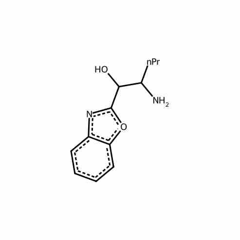 CCCC(N)C(O)c1nc2ccccc2o1